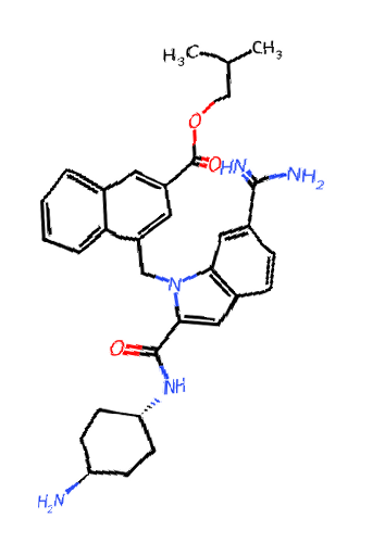 CC(C)COC(=O)c1cc(Cn2c(C(=O)N[C@H]3CC[C@H](N)CC3)cc3ccc(C(=N)N)cc32)c2ccccc2c1